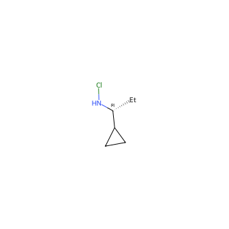 CC[C@@H](NCl)C1CC1